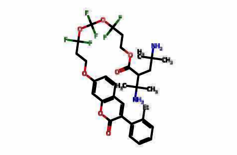 CCc1ccccc1-c1cc2ccc(OCCC(F)(F)OC(F)(F)OC(F)(F)CCOC(=O)C(CC(C)(C)N)C(C)(C)N)cc2oc1=O